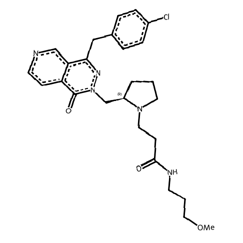 COCCCNC(=O)CCN1CCC[C@@H]1Cn1nc(Cc2ccc(Cl)cc2)c2cnccc2c1=O